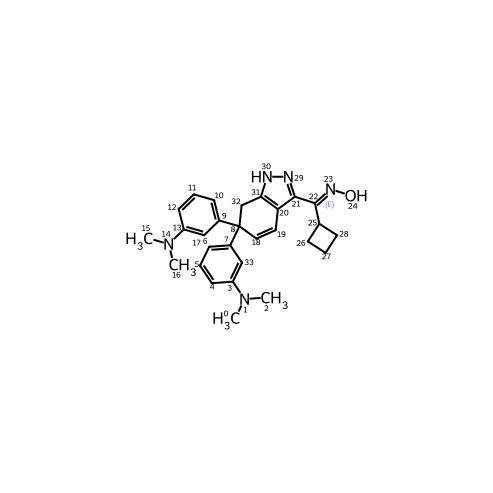 CN(C)c1cccc(C2(c3cccc(N(C)C)c3)C=Cc3c(/C(=N/O)C4CCC4)n[nH]c3C2)c1